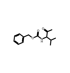 CC(=O)C(NC(=O)OCc1ccccc1)C(C)C